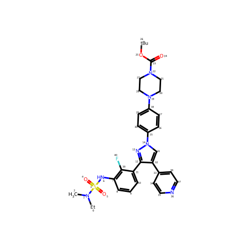 CCN(C)S(=O)(=O)Nc1cccc(-c2nn(-c3ccc(N4CCN(C(=O)OC(C)(C)C)CC4)cc3)cc2-c2ccncc2)c1F